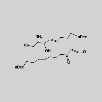 CCCCCCCCCCCCC/C=C/C(O)C(N)CO.CCCCCCCCCCCCCCCCCC(=O)C=C=O